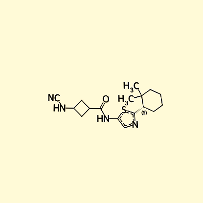 CC1(C)CCCC[C@@H]1c1ncc(NC(=O)C2CC(NC#N)C2)s1